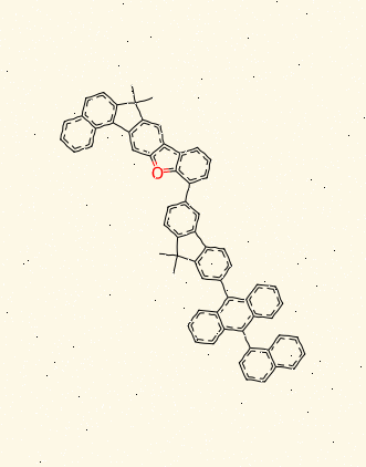 CC1(C)c2ccc(-c3cccc4c3oc3cc5c(cc34)C(C)(C)c3ccc4ccccc4c3-5)cc2-c2ccc(-c3c4ccccc4c(-c4cccc5ccccc45)c4ccccc34)cc21